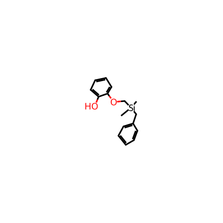 C[Si](C)(COc1ccccc1O)Cc1ccccc1